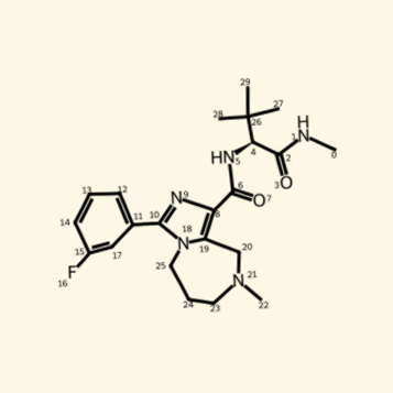 CNC(=O)[C@@H](NC(=O)c1nc(-c2cccc(F)c2)n2c1CN(C)CCC2)C(C)(C)C